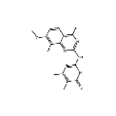 COc1ccc2c(C)nc(Nc3nc(C)c(C)c(=O)[nH]3)nc2c1I